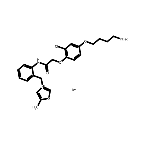 CCCCCCCCCCCCCCOc1ccc(OCC(=O)Nc2ccccc2C[n+]2csc(C)c2)c(Cl)c1.[Br-]